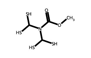 COC(=O)N(C(S)S)C(S)S